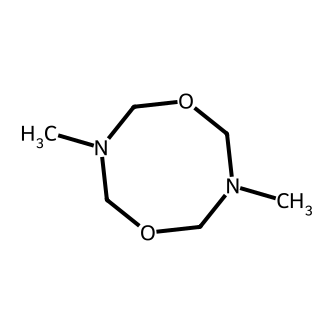 CN1COCN(C)COC1